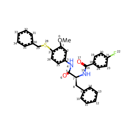 COc1cc(NC(=O)[C@H](Cc2ccccc2)NC(=O)c2ccc(F)cc2)ccc1SCc1ccccc1